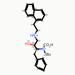 CC(C)(C)N(C(=O)O)[C@@H](Cc1ccccc1)[C@@H](O)CNCCc1cccc2ccccc12